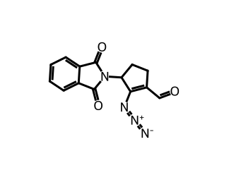 [N-]=[N+]=NC1=C(C=O)CCC1N1C(=O)c2ccccc2C1=O